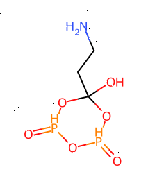 NCCC1(O)O[PH](=O)O[PH](=O)O1